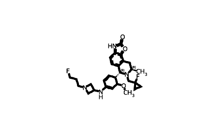 COC1C=C(NC2CN(CCCF)C2)C=CC1[C@@H]1c2ccc3[nH]c(=O)oc3c2C[C@@H](C)N1CC1(F)CC1